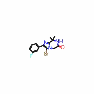 CC1(C)NC(=O)Cn2c1nc(-c1cccc(F)c1)c2Br